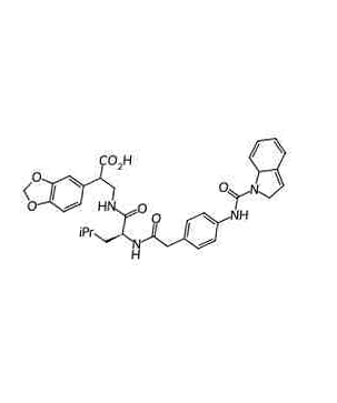 CC(C)C[C@H](NC(=O)Cc1ccc(NC(=O)N2CC=C3C=CC=CC32)cc1)C(=O)NCC(C(=O)O)c1ccc2c(c1)OCO2